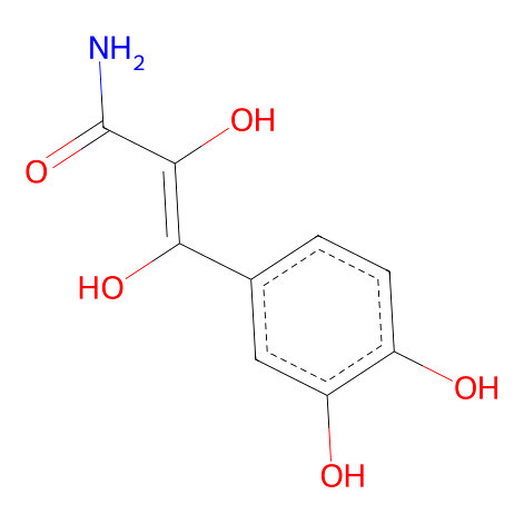 NC(=O)C(O)=C(O)c1ccc(O)c(O)c1